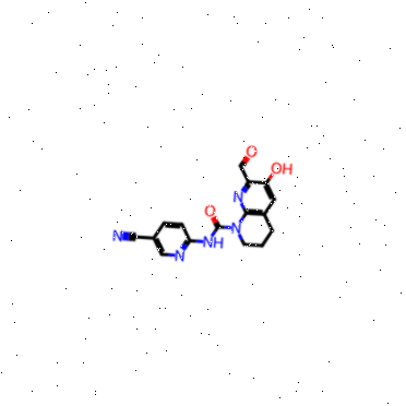 N#Cc1ccc(NC(=O)N2CCCc3cc(O)c(C=O)nc32)nc1